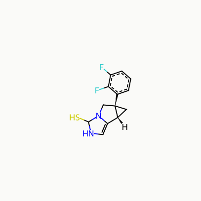 Fc1cccc([C@@]23C[C@@H]2C2=CNC(S)N2C3)c1F